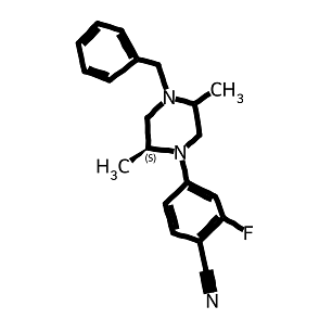 CC1CN(c2ccc(C#N)c(F)c2)[C@@H](C)CN1Cc1ccccc1